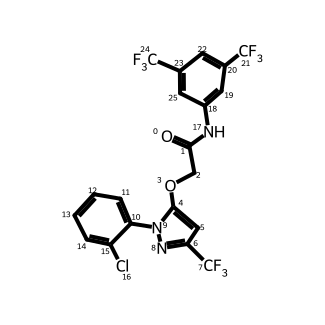 O=C(COc1cc(C(F)(F)F)nn1-c1ccccc1Cl)Nc1cc(C(F)(F)F)cc(C(F)(F)F)c1